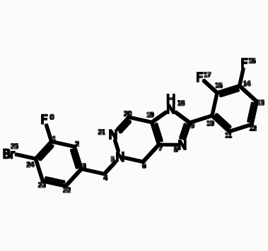 Fc1cc(CN2Cc3nc(-c4cccc(F)c4F)[nH]c3C=N2)ccc1Br